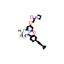 Cc1cc(OCC(=O)N2CCC2)cc(=O)n1C(C)c1ccc(C#CC2CC2)cc1